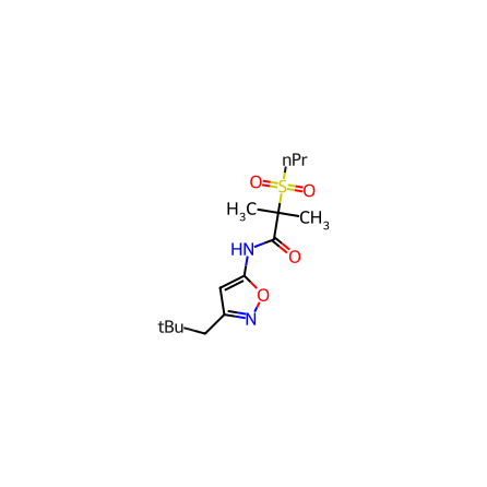 CCCS(=O)(=O)C(C)(C)C(=O)Nc1cc(CC(C)(C)C)no1